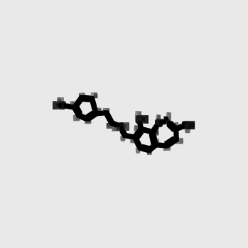 OC1=NOc2c(ccc(CNCCc3ccc(O)cc3)c2O)C=C1